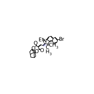 CCN1/C(=C\C=C2C(=O)OC3(OC2=O)C2CC4CC(C2)CC3C4)C(C)(C)c2c1ccc1cc(Br)ccc21